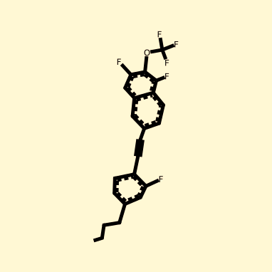 CCCCc1ccc(C#Cc2ccc3c(F)c(OC(F)(F)F)c(F)cc3c2)c(F)c1